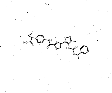 Cc1noc(-c2csc(C(=O)Nc3ccc(C4(C(=O)O)CC4)cc3)n2)c1NC(=O)OC(C)c1ccccc1